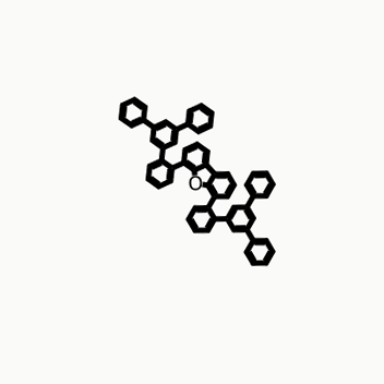 c1ccc(-c2cc(-c3ccccc3)cc(-c3ccccc3-c3cccc4c3oc3c(-c5ccccc5-c5cc(-c6ccccc6)cc(-c6ccccc6)c5)cccc34)c2)cc1